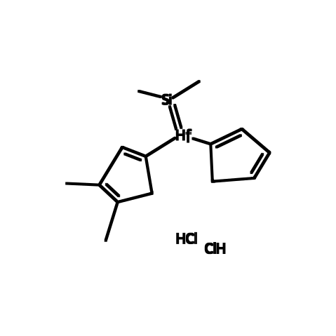 CC1=C(C)C[C]([Hf]([C]2=CC=CC2)=[Si](C)C)=C1.Cl.Cl